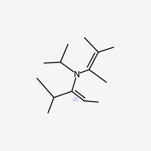 C/C=C(/C(C)C)N(C(C)=C(C)C)C(C)C